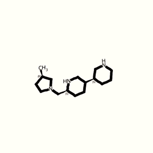 C[C@@H]1CCN(C[C@@H]2CCC([C@@H]3CCCNC3)CN2)C1